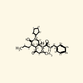 CCC[C@H]1C(=O)N(C2CCCC2)C[C@H]2C1C(=O)CN(C)N2C(=O)NCc1ccccc1